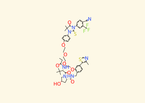 CCC(=O)N[C@H](C(=O)N1C[C@H](O)C[C@H]1C(=O)NCc1ccc(-c2scnc2C)cc1OCCOCCOCCOc1ccc(N2C(=S)N(c3ccc(C#N)c(C(F)(F)F)c3)C(=O)C2(C)C)cc1)C(C)(C)C